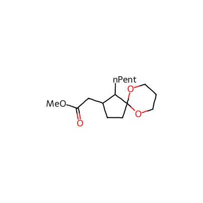 CCCCCC1C(CC(=O)OC)CCC12OCCCO2